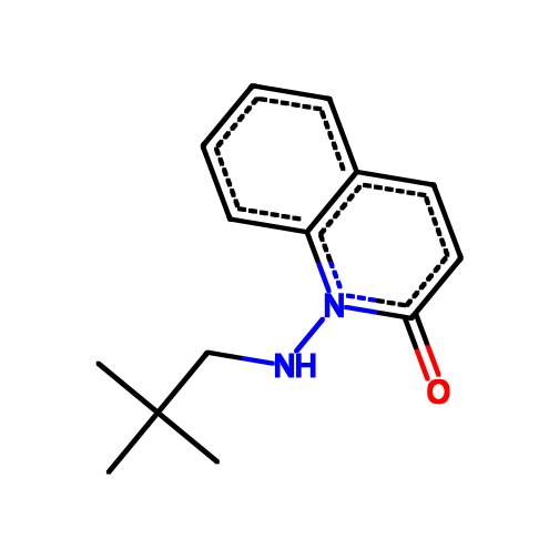 CC(C)(C)CNn1c(=O)ccc2ccccc21